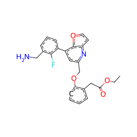 CCOC(=O)Cc1ccccc1OCc1cc(-c2cccc(CN)c2F)c2occc2n1